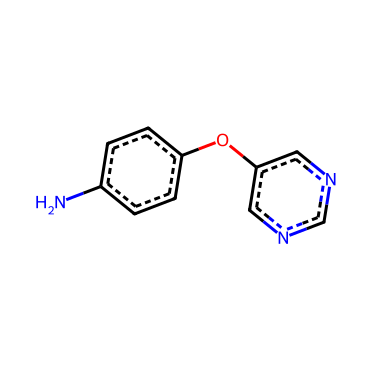 Nc1ccc(Oc2cncnc2)cc1